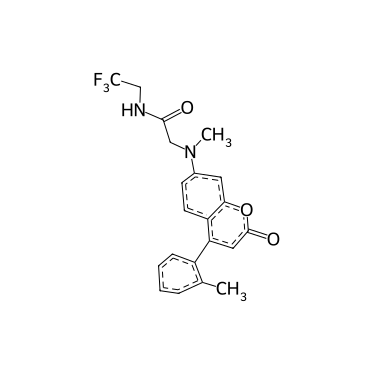 Cc1ccccc1-c1cc(=O)oc2cc(N(C)CC(=O)NCC(F)(F)F)ccc12